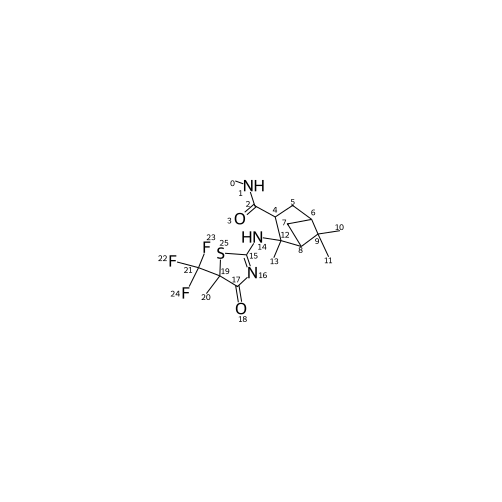 CNC(=O)C1CC2CC(C2(C)C)C1(C)NC1=NC(=O)C(C)(C(F)(F)F)S1